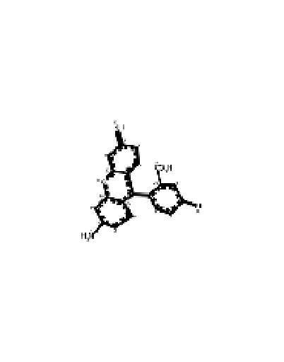 CCc1ccc(-c2c3ccc(=N)cc-3oc3cc(N)ccc23)c(C(=O)O)c1